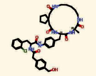 C[C@H]1NC(=O)[C@@H](Cc2ccc(NC(=O)C(Cc3ccccc3Cl)NC(=O)Cc3ccc(CO)cc3)cc2)NC(=O)CC2(CCCC2)CC(=O)NCCCCCNC1=O